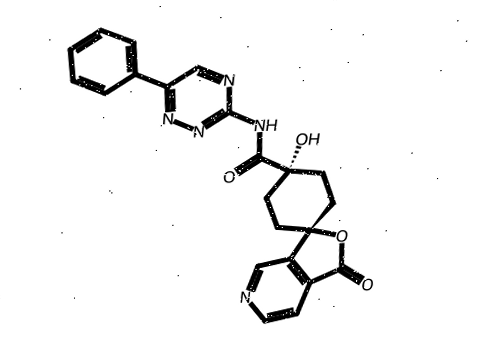 O=C1O[C@]2(CC[C@](O)(C(=O)Nc3ncc(-c4ccccc4)nn3)CC2)c2cnccc21